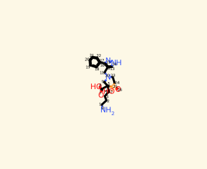 NCCCCC1(C(=O)O)CN(Cc2c[nH]nc2-c2ccccc2)CCP1(=O)O